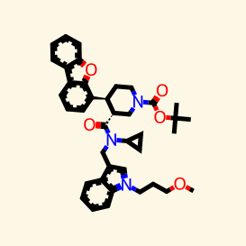 COCCCn1cc(CN(C(=O)[C@H]2CN(C(=O)OC(C)(C)C)CC[C@@H]2c2cccc3c2oc2ccccc23)C2CC2)c2ccccc21